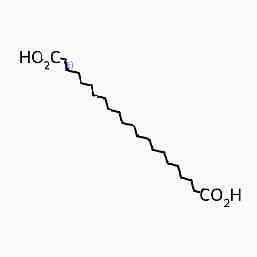 O=C(O)/C=C/CCCCCCCCCCCCCCCCCCC(=O)O